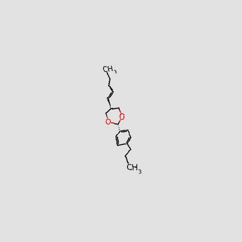 CCCC=C[C@H]1CO[C@H](c2ccc(CCC)cc2)OC1